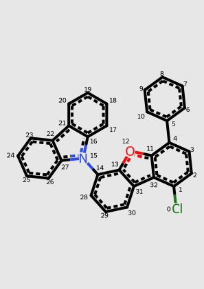 Clc1ccc(-c2ccccc2)c2oc3c(-n4c5ccccc5c5ccccc54)cccc3c12